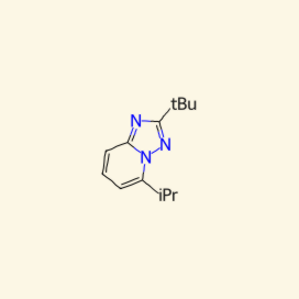 CC(C)c1cccc2nc(C(C)(C)C)nn12